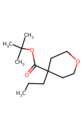 CCCC1(C(=O)OC(C)(C)C)CCOCC1